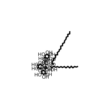 CCCCCCCCCCCCCCCCCCCCC(O)C(=O)N[C@@H](COP(=O)(O)O[C@H]1C(O)C(O)C(O)[C@@H](O)C1O[C@H]1O[C@H](COP(=O)(O)OC2C(O)C(O)C(O)[C@@H](O)C2O)[C@@H](O)C(O)C1O)[C@H](O)CCCCCCCCCCCCCCC